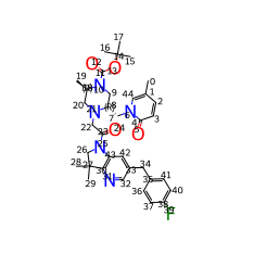 Cc1ccc(=O)n(C[C@H]2CN(C(=O)OC(C)(C)C)[C@H](C)CN2CC(=O)N2CC(C)(C)c3ncc(Cc4ccc(F)cc4)cc32)c1